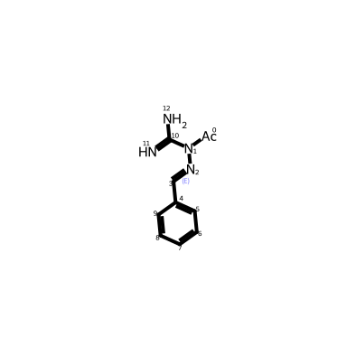 CC(=O)N(/N=C/c1ccccc1)C(=N)N